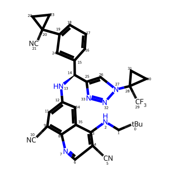 CC(C)(C)CNc1c(C#N)cnc2c(C#N)cc(N[C@@H](c3cccc(C4(C#N)CC4)c3)c3cn(C4(C(F)(F)F)CC4)nn3)cc12